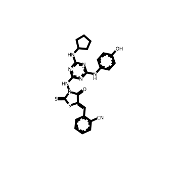 N#Cc1ccccc1/C=C1\SC(=S)N(Nc2nc(Nc3ccc(O)cc3)nc(NC3CCCC3)n2)C1=O